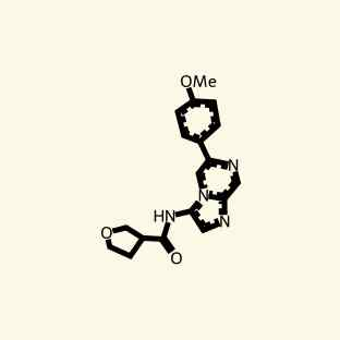 COc1ccc(-c2cn3c(NC(=O)C4CCOC4)cnc3cn2)cc1